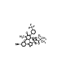 Cc1c(-c2c(S(=O)(=O)NC(=O)C(C)(C)C)cnn2-c2ccc(C#N)cc2)c(=O)n(C)c(=O)n1-c1cccc(C(F)(F)F)c1